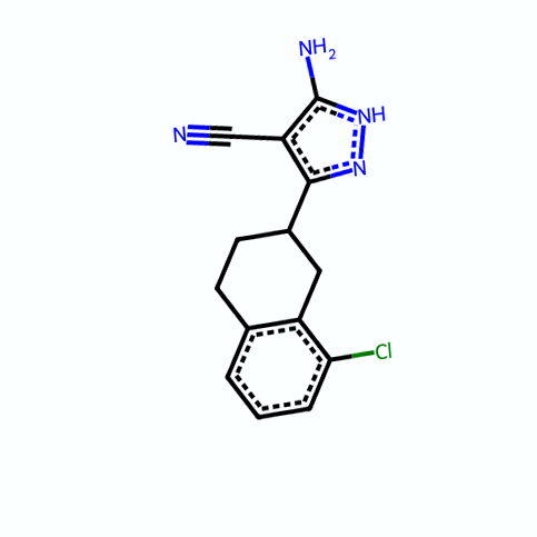 N#Cc1c(C2CCc3cccc(Cl)c3C2)n[nH]c1N